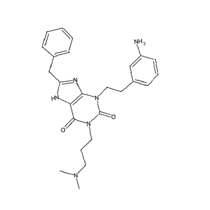 CN(C)CCCn1c(=O)c2[nH]c(Cc3ccccc3)nc2n(CCc2cccc(N)c2)c1=O